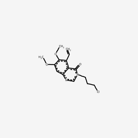 C=Cc1c(OC)c(OC)cc2ncn(CCCCl)c(=O)c12